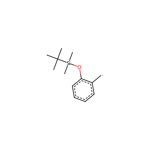 [CH2]c1ccccc1O[Si](C)(C)C(C)(C)C